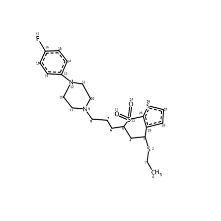 CCSC1CC(CCCN2CCN(c3ccc(F)cc3)CC2)S(=O)(=O)c2sccc21